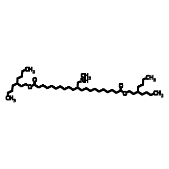 CCCCC(CCCC)CCOC(=O)CCCCCCCCCC(CCCCCCCCCC(=O)OCCC(CCCC)CCCC)CNC